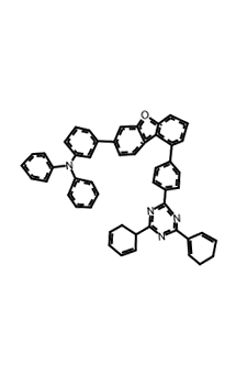 C1=CCC(c2nc(C3=CCCC=C3)nc(-c3ccc(-c4cccc5oc6cc(-c7cccc(N(c8ccccc8)c8ccccc8)c7)ccc6c45)cc3)n2)C=C1